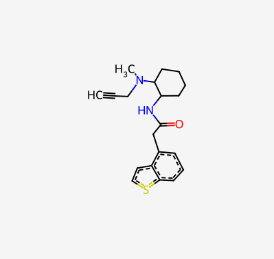 C#CCN(C)C1CCCCC1NC(=O)Cc1cccc2sccc12